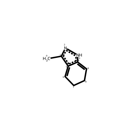 Cc1n[nH]c2c1=CCCC=2